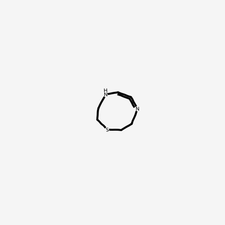 C1=CNCCSCCN=1